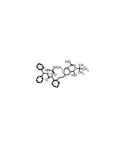 COC(=O)N[C@H](C(=O)Nc1ccccc1CC[C@@H]1CN(C(O)OC(C)(C)C)[C@H](C(=O)O)CO1)C(c1ccccc1)c1ccccc1